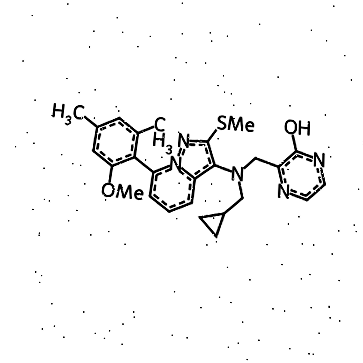 COc1cc(C)cc(C)c1-c1cccc2c(N(Cc3nccnc3O)CC3CC3)c(SC)nn12